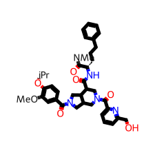 CNC(=O)[C@H](CCCc1ccccc1)NC(=O)C1CN(C(=O)c2cccc(CO)n2)CC2CN(C(=O)c3ccc(OC(C)C)c(OC)c3)CC21